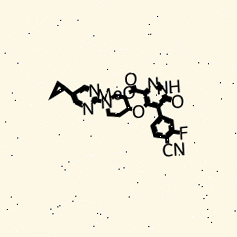 COC(=O)c1n[nH]c(=O)c(-c2ccc(C#N)c(F)c2)c1OC1CCN(c2ncc(C3CC3)cn2)CC1